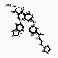 CONC(=O)c1cn(-c2ccc3c(c2)CCC3)c2nc(Nc3cccc(C(=O)NCCN4CCCC4)c3)ncc2c1=O